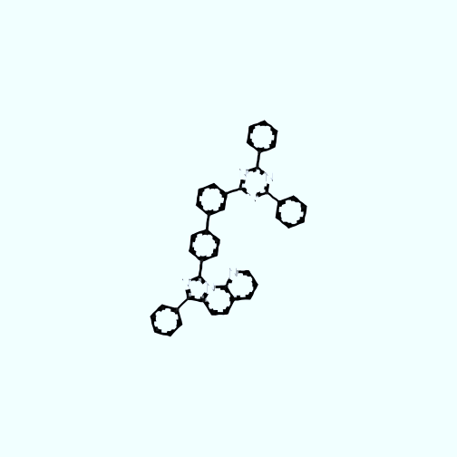 c1ccc(-c2nc(-c3ccccc3)nc(-c3cccc(-c4ccc(-c5nc(-c6ccccc6)c6ccc7cccnc7n56)cc4)c3)n2)cc1